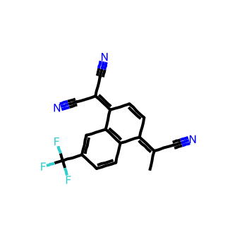 C/C(C#N)=c1/ccc(=C(C#N)C#N)c2cc(C(F)(F)F)ccc12